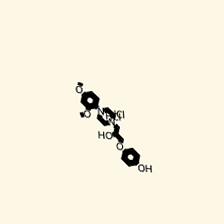 COc1ccc(N2CCN(CC(O)COc3ccc(O)cc3)CC2)c(OC)c1.Cl.Cl